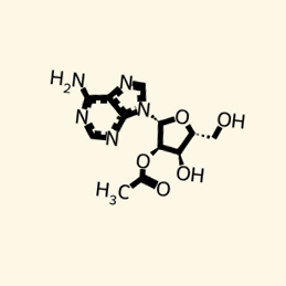 CC(=O)O[C@@H]1[C@H](O)[C@@H](CO)O[C@H]1n1cnc2c(N)ncnc21